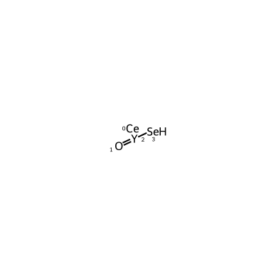 [Ce].[O]=[Y][SeH]